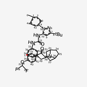 Cc1ccc(-n2nc(C(C)(C)C)cc2NC(=O)Nc2cccc(CC3CC4CCC(C3)N4CC(=O)c3ccc(OC(F)F)cc3)c2)cc1